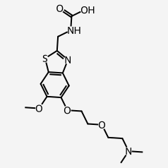 COc1cc2sc(CNC(=O)O)nc2cc1OCCOCCN(C)C